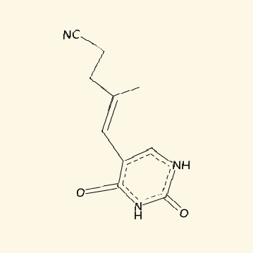 C/C(=C\c1c[nH]c(=O)[nH]c1=O)CCC#N